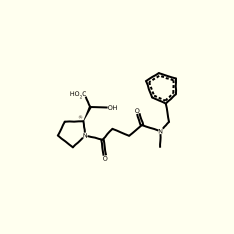 CN(Cc1ccccc1)C(=O)CCC(=O)N1CCC[C@H]1C(O)C(=O)O